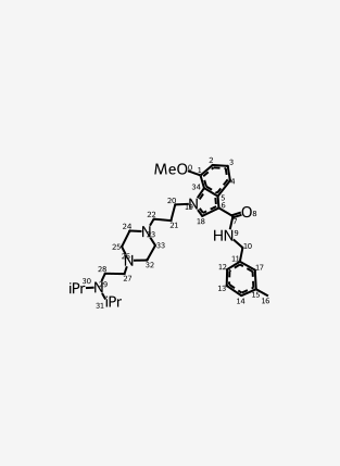 COc1cccc2c(C(=O)NCc3cccc(C)c3)cn(CCCN3CCN(CCN(C(C)C)C(C)C)CC3)c12